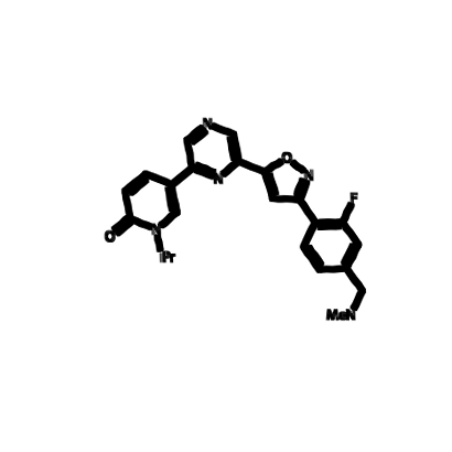 CNCc1ccc(-c2cc(-c3cncc(-c4ccc(=O)n(C(C)C)c4)n3)on2)c(F)c1